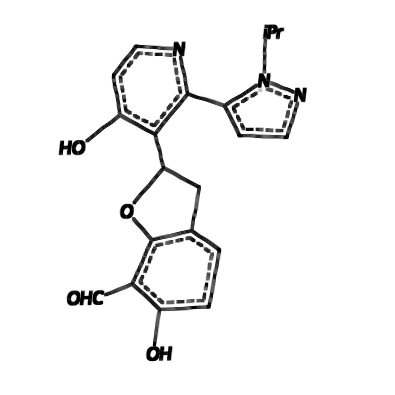 CC(C)n1nccc1-c1nccc(O)c1C1Cc2ccc(O)c(C=O)c2O1